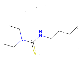 CCCCNC(=S)N(CC)CC